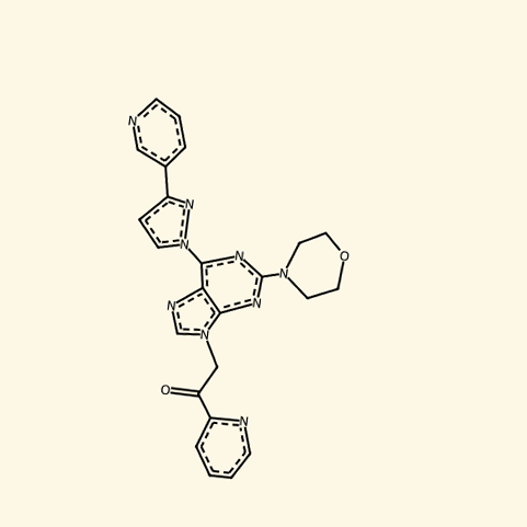 O=C(Cn1cnc2c(-n3ccc(-c4cccnc4)n3)nc(N3CCOCC3)nc21)c1ccccn1